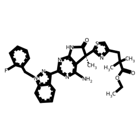 CCOC(=O)C(C)(C)Cc1csc([C@]2(C)C(=O)Nc3nc(-c4nn(Cc5ccccc5F)c5ccccc45)nc(N)c32)n1